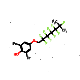 CC(C)c1cc(OCC(F)(F)C(F)(F)C(F)(F)C(F)(F)C(F)(C(F)(F)F)C(F)(F)F)cc(C(C)C)c1O